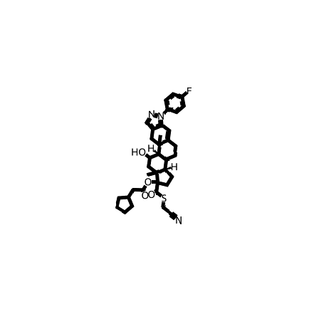 CC12Cc3cnn(-c4ccc(F)cc4)c3C=C1CCC1[C@@H]2C(O)CC2(C)[C@H]1CCC2(OC(=O)CC1CCCC1)C(=O)SCC#N